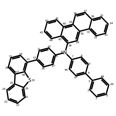 c1ccc(-c2ccc(N(c3ccc(-c4cccc5c4sc4ccccc45)cc3)c3cc4c5ccccc5ccc4c4ccccc34)cc2)cc1